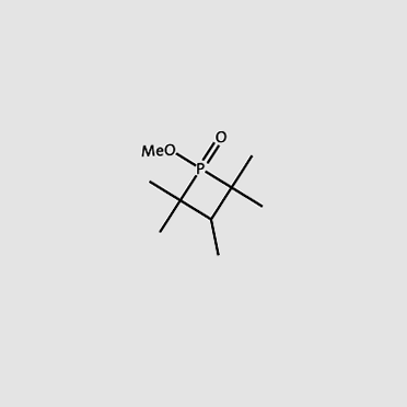 COP1(=O)C(C)(C)C(C)C1(C)C